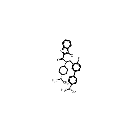 CC(=O)N(C)c1ccc(-c2ccc(F)c(CN(C(=O)c3sc4ccccc4c3Cl)[C@H]3CC[C@H](N(C)C)CC3)c2)cc1